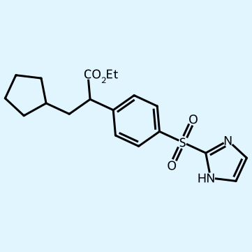 CCOC(=O)C(CC1CCCC1)c1ccc(S(=O)(=O)c2ncc[nH]2)cc1